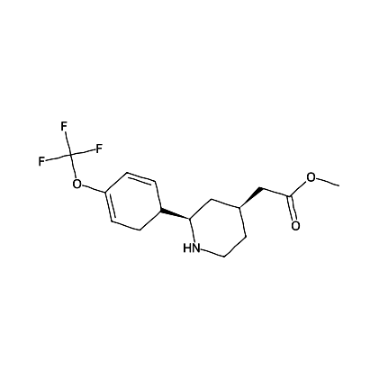 COC(=O)C[C@H]1CCN[C@@H](C2C=CC(OC(F)(F)F)=CC2)C1